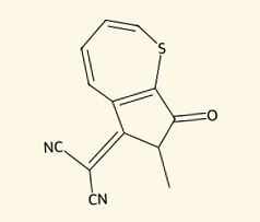 CC1C(=O)C2=C(C=CC=CS2)C1=C(C#N)C#N